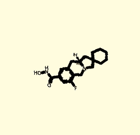 O=C(NO)c1cc(F)c2c(c1)C[C@@H]1CC3(CCCCC3)CN1C2